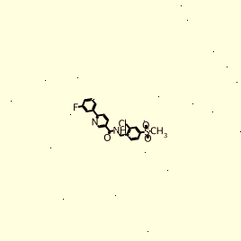 CS(=O)(=O)c1ccc(CNC(=O)c2ccc(-c3cccc(F)c3)nc2)c(Cl)c1